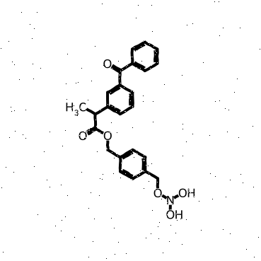 CC(C(=O)OCc1ccc(CON(O)O)cc1)c1cccc(C(=O)c2ccccc2)c1